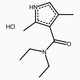 CCN(CC)C(=O)c1c(C)c[nH]c1C.Cl